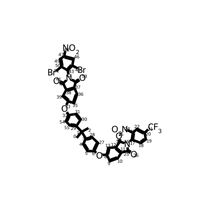 CC(C)(c1ccc(Oc2ccc3c(c2)C(=O)N(c2ccc(C(F)(F)F)cc2[N+](=O)[O-])C3=O)cc1)c1ccc(Oc2ccc3c(c2)C(=O)N(c2c(Br)cc([N+](=O)[O-])cc2Br)C3=O)cc1